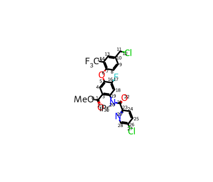 COC(=O)c1cc(Oc2ccc(CCl)cc2C(F)(F)F)c(F)cc1N(C(=O)c1ccc(Cl)cn1)C(C)C